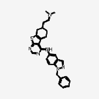 CN(C)CCC1CCc2c(sc3ncnc(Nc4ccc5c(cnn5Cc5ccccc5)c4)c23)C1